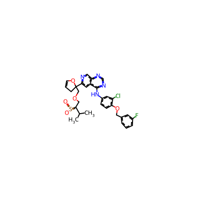 CC(C)C(COCC1(c2cc3c(Nc4ccc(OCc5cccc(F)c5)c(Cl)c4)ncnc3cn2)CC=CO1)=S(=O)=O